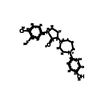 O=C1C(N2CCCN(c3ccc(O)cn3)CC2)CCN1c1ccc(Cl)c(F)c1